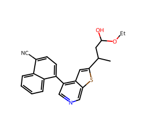 CCOC(O)CC(C)c1cc2c(-c3ccc(C#N)c4ccccc34)cncc2s1